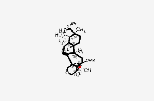 CO[C@@H]1C[C@@]23COC[C@@](C)([C@@H]2CC[C@H]2C3=CC[C@@]3(C)[C@H](C(=O)O)[C@@](C)([C@H](C)C(C)C)CC[C@]23C)[C@H]1O